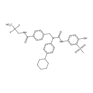 CS(=O)(=O)c1cc(NC(=O)N(Cc2ccc(C(=O)NCC(F)(F)C(=O)O)cc2)c2ccc(C3CCCCC3)cc2)ccc1O